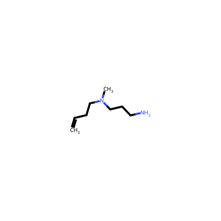 C=CCCN(C)CCCN